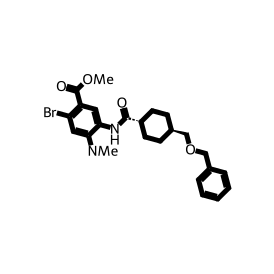 CNc1cc(Br)c(C(=O)OC)cc1NC(=O)[C@H]1CC[C@H](COCc2ccccc2)CC1